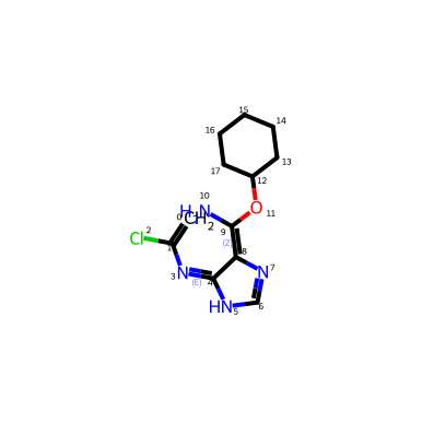 C=C(Cl)/N=C1/NC=N/C1=C(/N)OC1CCCCC1